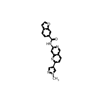 Cn1cc(-c2ccc3cnc(NC(=O)c4ccc5ccoc5c4)cc3n2)cn1